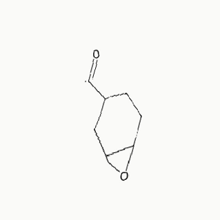 O=[C]C1CCC2OC2C1